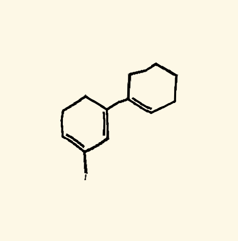 IC1=CCCC(C2=CCCCC2)=C1